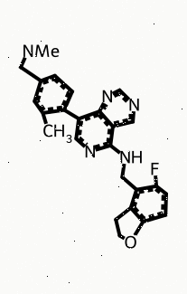 CNCc1ccc(-c2cnc(NCc3c(F)ccc4c3CCO4)c3cncnc23)c(C)c1